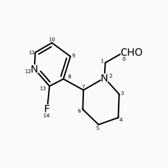 O=CCN1CCCCC1c1cccnc1F